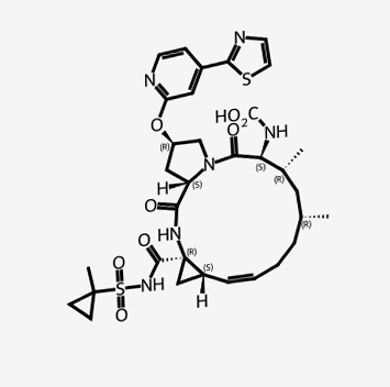 C[C@@H]1CCC=C[C@@H]2C[C@@]2(C(=O)NS(=O)(=O)C2(C)CC2)NC(=O)[C@@H]2C[C@@H](Oc3cc(-c4nccs4)ccn3)CN2C(=O)[C@@H](NC(=O)O)[C@H](C)C1